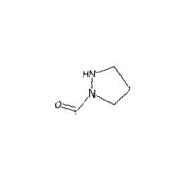 O=[C]N1CCCN1